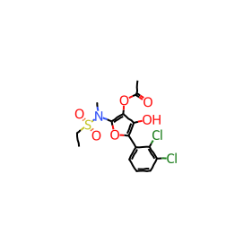 CCS(=O)(=O)N(C)c1oc(-c2cccc(Cl)c2Cl)c(O)c1OC(C)=O